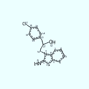 N=c1sc2ccccc2n1CC(O)c1ccc(Cl)cc1